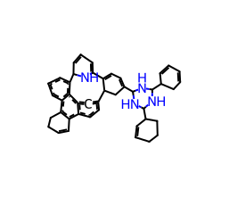 C1=CCC(C2NC(C3=CC=C4C5=CC=CC(N5)c5cccc6c7c(c8ccc(cc8c56)C4C3)C=CCC7)NC(C3C=CCCC3)N2)C=C1